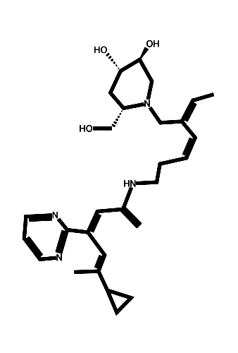 C=C(/C=C(\C=C(/C)C1CC1)c1ncccn1)NCC/C=C\C(=C/C)CN1C[C@H](O)[C@@H](O)C[C@H]1CO